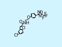 O=C(NCCOc1ccc(-c2noc(C(F)(F)F)n2)cc1)c1cc2cc(Cl)ccc2o1